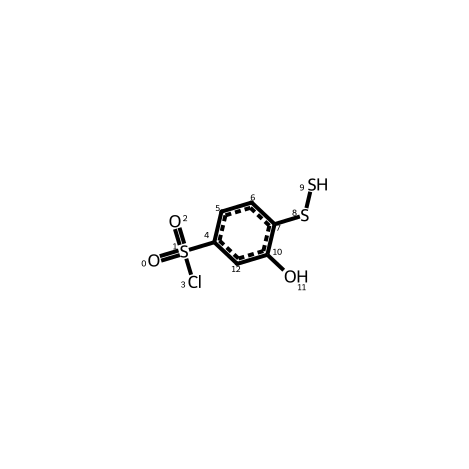 O=S(=O)(Cl)c1ccc(SS)c(O)c1